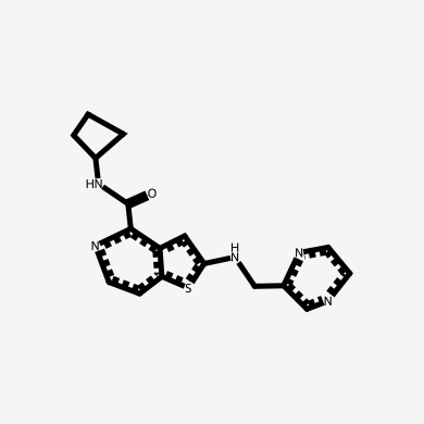 O=C(NC1CCC1)c1nccc2sc(NCc3cnccn3)cc12